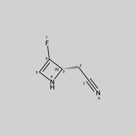 N#CC[C@@H]1NC=C1F